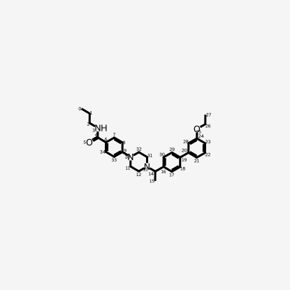 CCCNC(=O)c1ccc(N2CCN(C(C)c3ccc(-c4cccc(OCC)c4)cc3)CC2)cc1